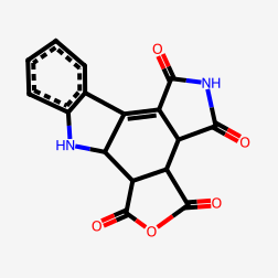 O=C1NC(=O)C2C1=C1c3ccccc3NC1C1C(=O)OC(=O)C21